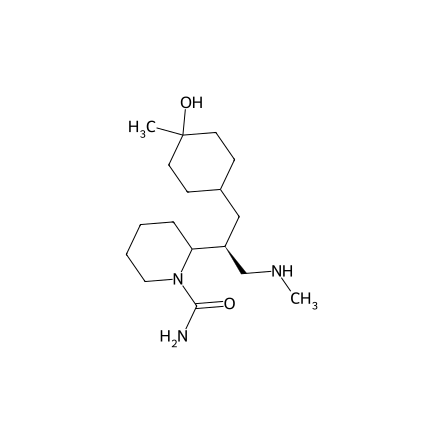 CNC[C@H](CC1CCC(C)(O)CC1)C1CCCCN1C(N)=O